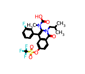 CC(C)Cn1c(N(C)C(=O)O)c(-c2cccc(F)c2)c2cc(OS(=O)(=O)C(F)(F)F)ccc2c1=O